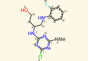 CNc1nc(Cl)nc(NC(CCO)CNc2ccccc2F)n1